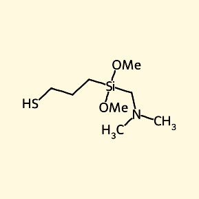 CO[Si](CCCS)(CN(C)C)OC